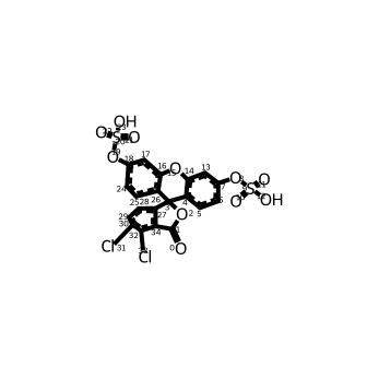 O=C1OC2(c3ccc(OS(=O)(=O)O)cc3Oc3cc(OS(=O)(=O)O)ccc32)c2ccc(Cl)c(Cl)c21